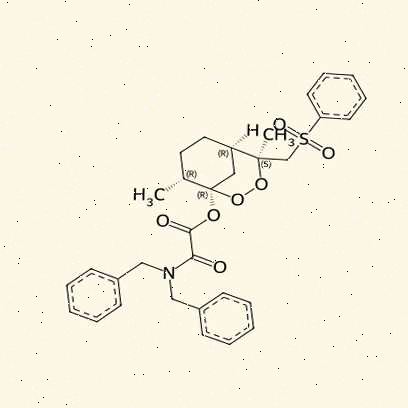 C[C@@H]1CC[C@@H]2C[C@@]1(OC(=O)C(=O)N(Cc1ccccc1)Cc1ccccc1)OO[C@]2(C)CS(=O)(=O)c1ccccc1